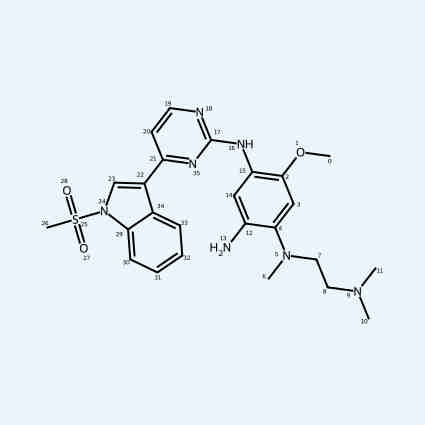 COc1cc(N(C)CCN(C)C)c(N)cc1Nc1nccc(-c2cn(S(C)(=O)=O)c3ccccc23)n1